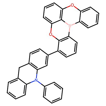 c1ccc(N2c3ccccc3Cc3ccc(-c4cccc5c4Oc4cccc6c4B5c4ccccc4O6)cc32)cc1